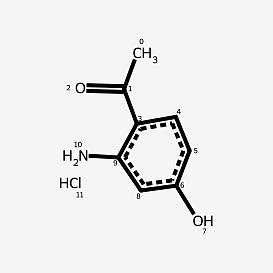 CC(=O)c1ccc(O)cc1N.Cl